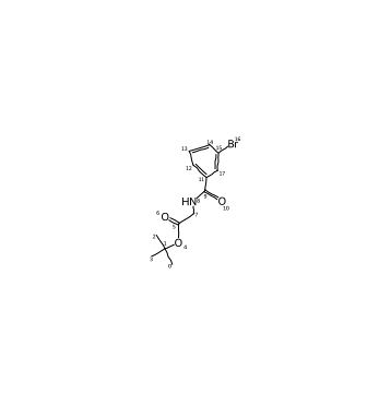 CC(C)(C)OC(=O)CNC(=O)c1cccc(Br)c1